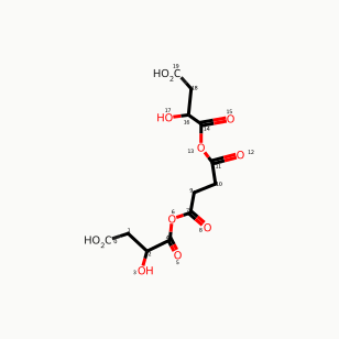 O=C(O)CC(O)C(=O)OC(=O)CCC(=O)OC(=O)C(O)CC(=O)O